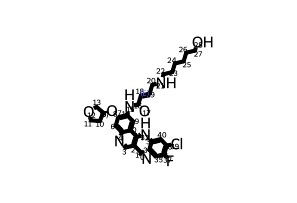 N#Cc1cnc2cc(O[C@H]3CCOC3)c(NC(=O)/C=C/CNCCCCCCO)cc2c1Nc1ccc(F)c(Cl)c1